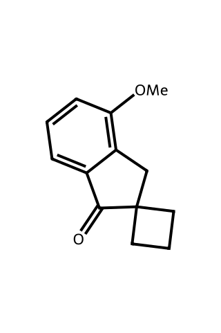 COc1cccc2c1CC1(CCC1)C2=O